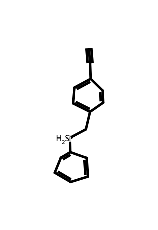 C#Cc1ccc(C[SiH2]c2ccccc2)cc1